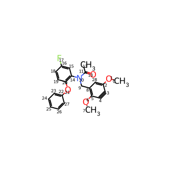 COc1c#cc(OC)c(CN(C(C)=O)c2cc(F)ccc2Oc2ccccc2)c1